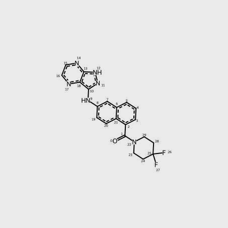 O=C(c1cccc2cc(Nc3n[nH]c4nccnc34)ccc12)N1CCC(F)(F)CC1